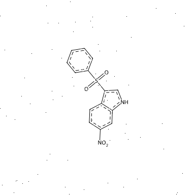 O=[N+]([O-])c1ccc2c(S(=O)(=O)c3ccccc3)c[nH]c2c1